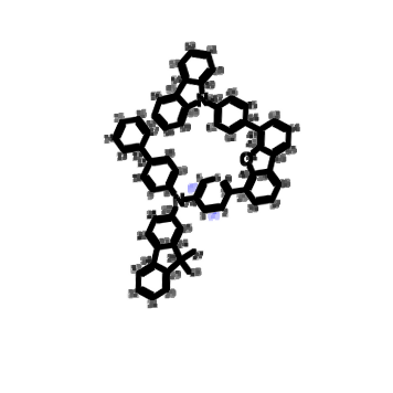 C=C(/C=C\C(=C/C)N(c1ccc(-c2ccccc2)cc1)c1ccc2c(c1)C(C)(C)c1ccccc1-2)c1cccc2c1oc1c(-c3ccc(-n4c5ccccc5c5ccccc54)cc3)cccc12